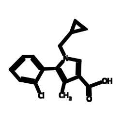 Cc1c(C(=O)O)cn(CC2CC2)c1-c1ccccc1Cl